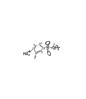 [CH2]CCS(=O)(=O)c1ccc(C#N)cc1